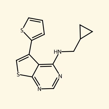 c1csc(-c2csc3ncnc(NCC4CC4)c23)c1